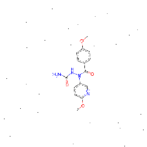 COc1ccc(C(=O)N(NC(N)=O)c2ccc(OC)nc2)cc1